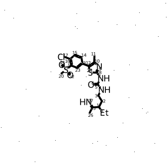 CCC(CCNC(=O)Nc1nc(C)c(-c2ccc(Cl)c(S(C)(=O)=O)c2)s1)C(C)=N